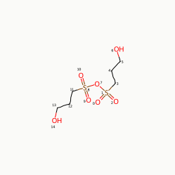 O=S(=O)(CCCO)OS(=O)(=O)CCCO